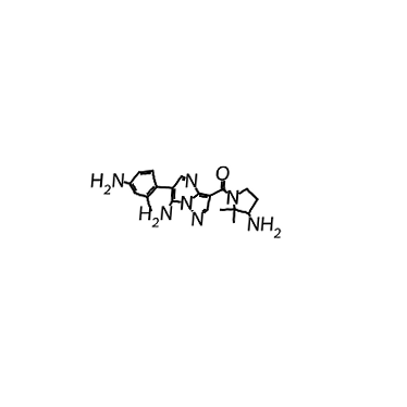 Cc1cc(N)ccc1-c1cnc2c(C(=O)N3CCC(N)C3(C)C)cnn2c1N